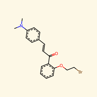 CN(C)c1ccc(C=CC(=O)c2ccccc2OCCBr)cc1